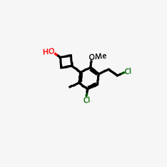 COc1c(CCCl)cc(Cl)c(C)c1C1CC(O)C1